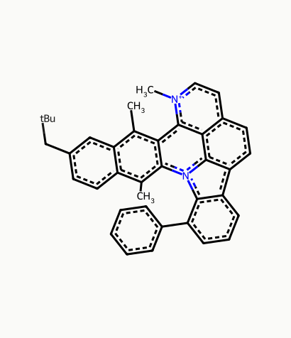 Cc1c2cc(CC(C)(C)C)ccc2c(C)c2c1c1c3c(ccc4c5cccc(-c6ccccc6)c5n2c43)cc[n+]1C